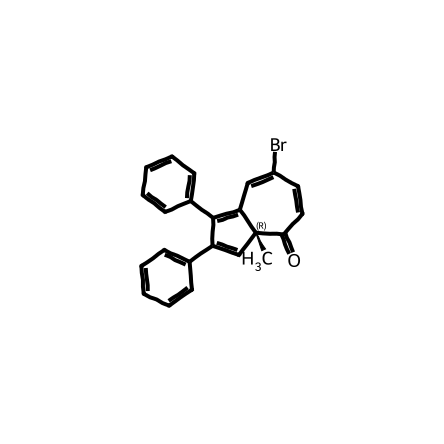 C[C@@]12C=C(c3ccccc3)C(c3ccccc3)=C1C=C(Br)C=CC2=O